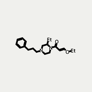 CCOC=CC(=O)N1CCN(CCCc2ccccc2)CC1CC